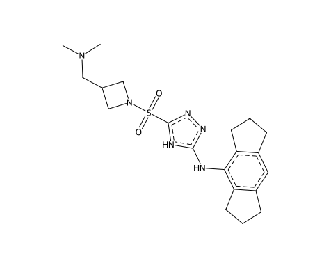 CN(C)CC1CN(S(=O)(=O)c2nnc(Nc3c4c(cc5c3CCC5)CCC4)[nH]2)C1